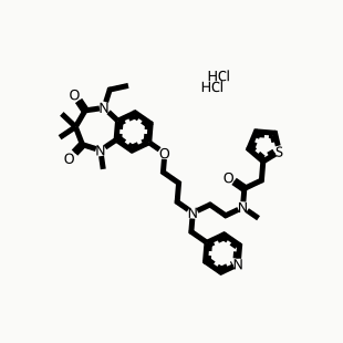 CCN1C(=O)C(C)(C)C(=O)N(C)c2cc(OCCCN(CCN(C)C(=O)Cc3cccs3)Cc3ccncc3)ccc21.Cl.Cl